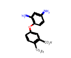 CCOC(=O)c1ccc(Oc2ccc(N)cc2N)cc1C(=O)O